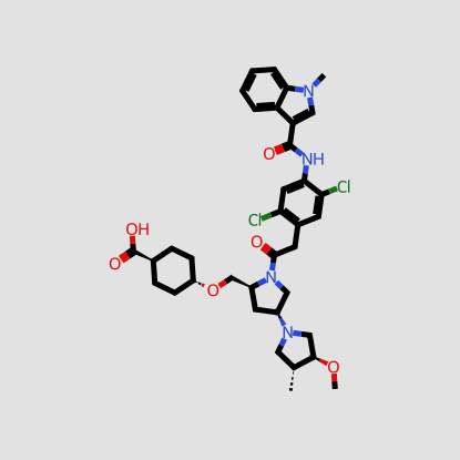 CO[C@@H]1CN([C@H]2C[C@@H](CO[C@H]3CC[C@H](C(=O)O)CC3)N(C(=O)Cc3cc(Cl)c(NC(=O)c4cn(C)c5ccccc45)cc3Cl)C2)C[C@H]1C